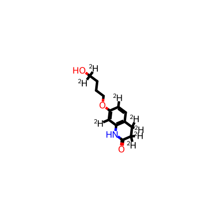 [2H]c1cc2c(c([2H])c1OCCCC([2H])([2H])O)NC(=O)C([2H])([2H])C2([2H])[2H]